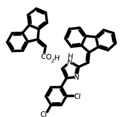 Clc1ccc(-c2c[nH]c(C=C3c4ccccc4-c4ccccc43)n2)c(Cl)c1.O=C(O)C=C1c2ccccc2-c2ccccc21